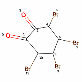 O=C1C(=O)C(Br)C(Br)C(Br)C1Br